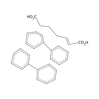 O=C(O)C=CCCCC(=O)O.c1ccc(-c2ccccc2)cc1.c1ccc(-c2ccccc2)cc1